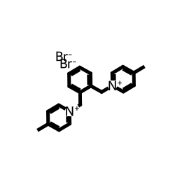 Cc1cc[n+](Cc2ccccc2C[n+]2ccc(C)cc2)cc1.[Br-].[Br-]